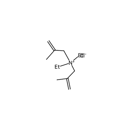 C=C(C)C[N+](CC)(CC)CC(=C)C.[Cl-]